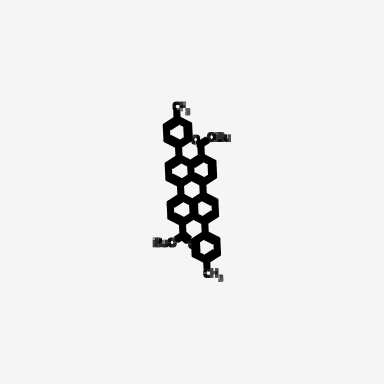 Cc1ccc(-c2ccc3c4ccc(C(=O)OCC(C)C)c5c(-c6ccc(C(F)(F)F)cc6)ccc(c6ccc(C(=O)OCC(C)C)c2c63)c54)cc1